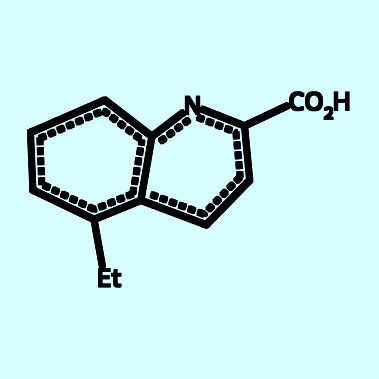 CCc1cccc2nc(C(=O)O)ccc12